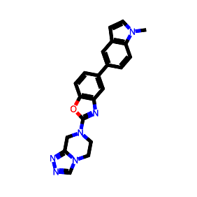 Cn1ccc2cc(-c3ccc4oc(N5CCn6cnnc6C5)nc4c3)ccc21